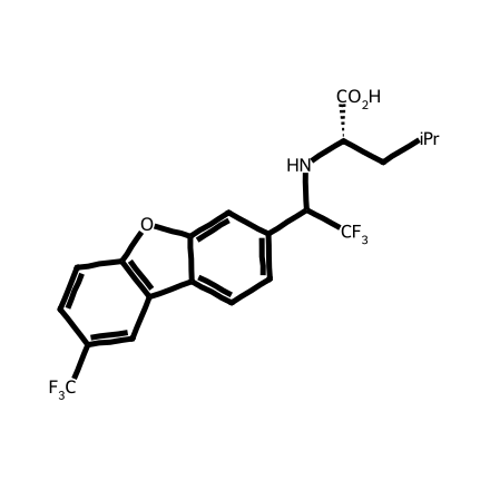 CC(C)C[C@H](NC(c1ccc2c(c1)oc1ccc(C(F)(F)F)cc12)C(F)(F)F)C(=O)O